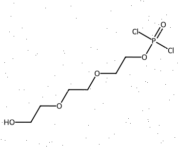 O=P(Cl)(Cl)OCCOCCOCCO